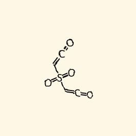 O=C=CS(=O)(=O)C=C=O